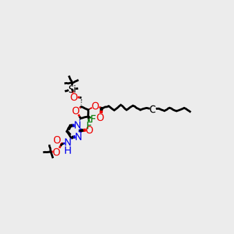 CCCCCCCCCCCCCCC(=O)O[C@@H]1[C@@H](CO[Si](C)(C)C(C)(C)C)O[C@@H](n2ccc(NC(=O)OC(C)(C)C)nc2=O)C1(F)F